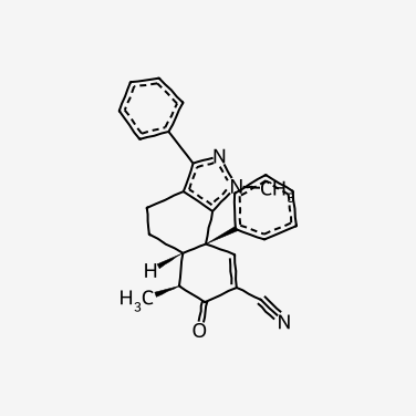 C[C@@H]1C(=O)C(C#N)=C[C@@]2(c3ccccc3)c3c(c(-c4ccccc4)nn3C)CC[C@@H]12